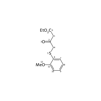 CCOC(=O)CC(=O)CSc1ccccc1OC